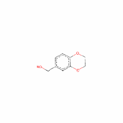 OCc1ccc2c(c1)OCCO2